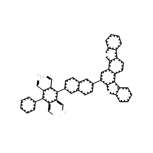 C=Cc1c(C=C)c(-c2ccc3cc(-c4cc5c(ccc6c7ccccc7sc65)c5c4sc4ccccc45)ccc3c2)c(=C/C)/c(=C\C)c1-c1ccccc1